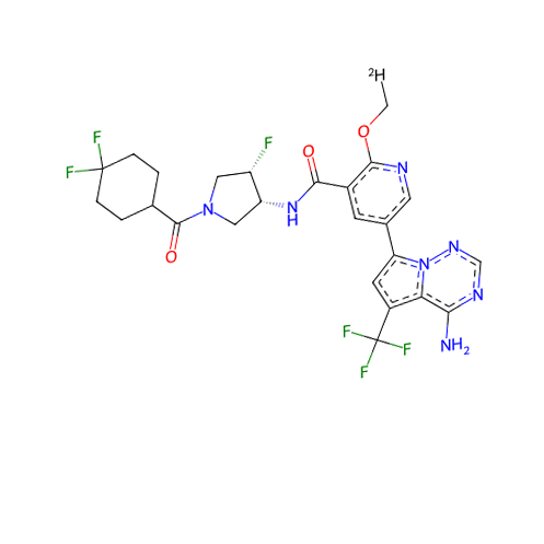 [2H]COc1ncc(-c2cc(C(F)(F)F)c3c(N)ncnn23)cc1C(=O)N[C@@H]1CN(C(=O)C2CCC(F)(F)CC2)C[C@@H]1F